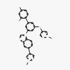 Cn1cc(Nc2cc(-c3ccc(F)cc3F)cc(-n3cnc4cc(-c5cnn(C)c5)ccc43)c2)cn1